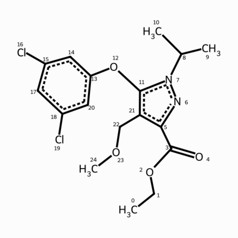 CCOC(=O)c1nn(C(C)C)c(Oc2cc(Cl)cc(Cl)c2)c1COC